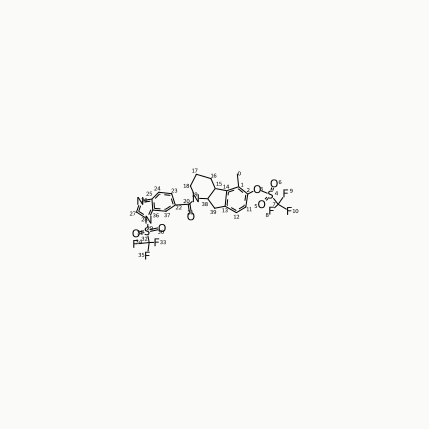 Cc1c(OS(=O)(=O)C(F)(F)F)ccc2c1C1CCCN(C(=O)c3ccc4ncn(S(=O)(=O)C(F)(F)F)c4c3)C1C2